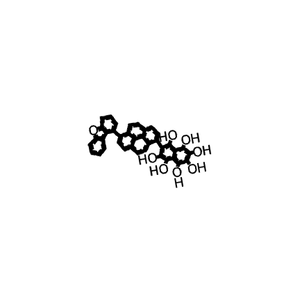 Oc1c(O)c(O)c2c(O)c(-c3ccc4ccc5c(-c6cccc7oc8ccccc8c67)ccc6ccc3c4c65)c(O)c(O)c2c1O